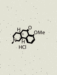 COc1cccc2c1C(=O)C[C@@H]1CCN(C)C[C@H]21.Cl